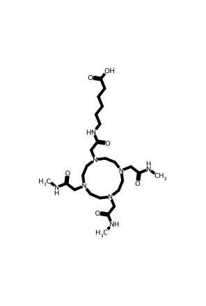 CNC(=O)CN1CCN(CC(=O)NC)CCN(CC(=O)NCCCCCC(=O)O)CCN(CC(=O)NC)CC1